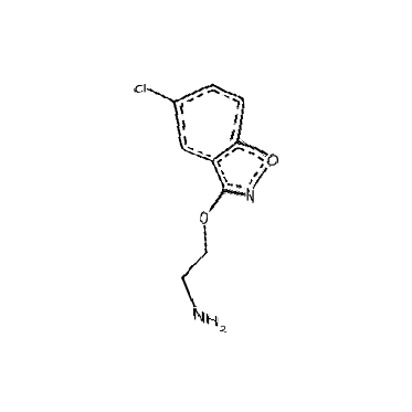 NCCOc1noc2ccc(Cl)cc12